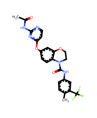 CC(=O)Nc1nccc(Oc2ccc3c(c2)OCCN3C(=O)Nc2ccc(C)c(C(F)(F)F)c2)n1